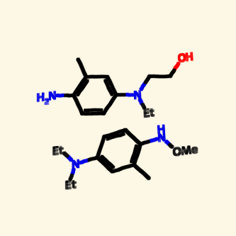 CCN(CC)c1ccc(NOC)c(C)c1.CCN(CCO)c1ccc(N)c(C)c1